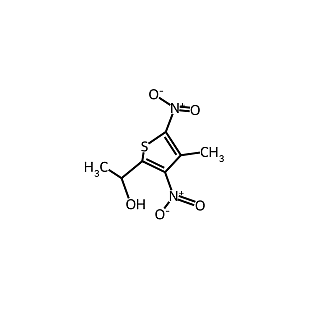 Cc1c([N+](=O)[O-])sc(C(C)O)c1[N+](=O)[O-]